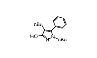 CCCCc1c(O)nn(CCCC)c1-c1ccccc1